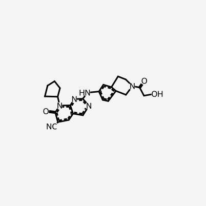 N#Cc1cc2cnc(Nc3ccc4c(c3)CCN(C(=O)CO)C4)nc2n(C2CCCC2)c1=O